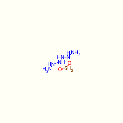 NNNNNN.O=[SH2]=O